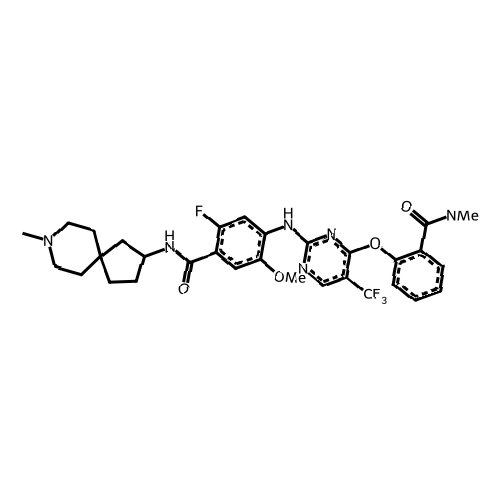 CNC(=O)c1ccccc1Oc1nc(Nc2cc(F)c(C(=O)NC3CCC4(CCN(C)CC4)C3)cc2OC)ncc1C(F)(F)F